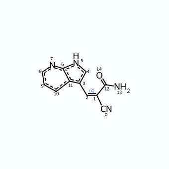 N#C/C(=C/c1c[nH]c2ncccc12)C(N)=O